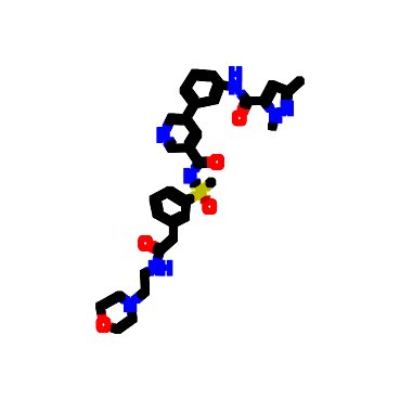 Cc1cc(C(=O)Nc2cccc(-c3cncc(C(=O)N=S(C)(=O)c4cccc(CC(=O)NCCN5CCOCC5)c4)c3)c2)n(C)n1